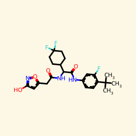 CC(C)(C)c1ccc(NC(=O)C(NC(=O)Cc2cc(O)no2)C2CCC(F)(F)CC2)cc1F